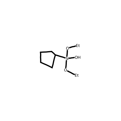 CCO[Si](O)(OCC)C1CCCC1